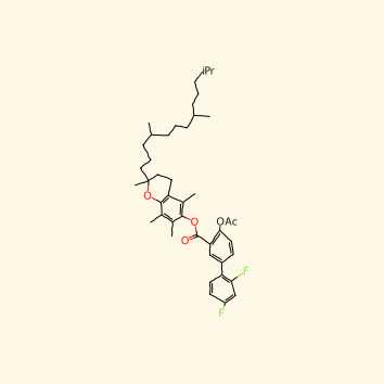 CC(=O)Oc1ccc(-c2ccc(F)cc2F)cc1C(=O)Oc1c(C)c(C)c2c(c1C)CCC(C)(CCCC(C)CCCC(C)CCCC(C)C)O2